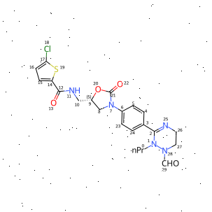 CCCN1C(c2ccc(N3C[C@H](CNC(=O)c4ccc(Cl)s4)OC3=O)cc2)=NCCN1C=O